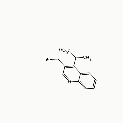 CC(C(=O)O)c1c(CBr)cnc2ccccc12